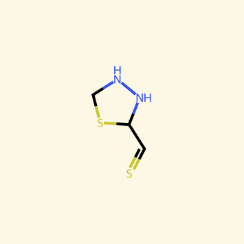 S=CC1NNCS1